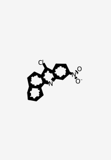 O=[N+]([O-])c1ccc2c(Cl)c3ccc4ccccc4c3nc2c1